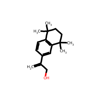 C=C(CO)c1ccc2c(c1)C(C)(C)CCC2(C)C